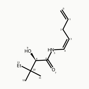 C=CC/C=C\NC(=O)[C@H](O)C(C)(C)CC